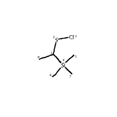 CC(SCl)[Si](C)(C)C